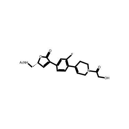 CC(=O)NC[C@H]1C=C(c2ccc(C3=CCN(C(=O)CO)CC3)c(F)c2)C(=O)O1